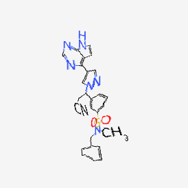 CN(Cc1ccccc1)S(=O)(=O)c1cccc(C(CC#N)n2cc(-c3ncnc4[nH]ccc34)cn2)c1